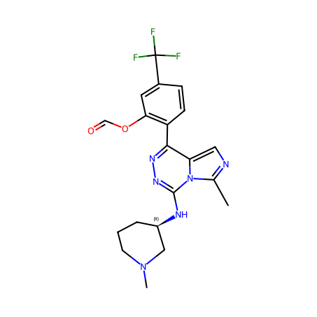 Cc1ncc2c(-c3ccc(C(F)(F)F)cc3OC=O)nnc(N[C@@H]3CCCN(C)C3)n12